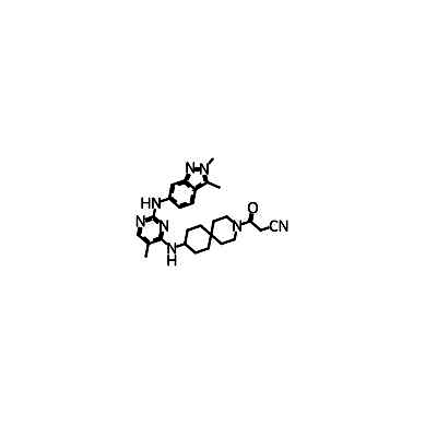 Cc1cnc(Nc2ccc3c(C)n(C)nc3c2)nc1NC1CCC2(CC1)CCN(C(=O)CC#N)CC2